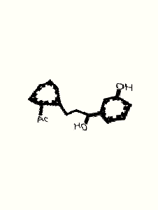 CC(=O)c1ccccc1CCC(O)c1cccc(O)c1